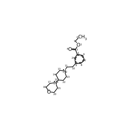 CCOC(=O)c1cccc(CCN2CCC(N3CCOCC3)CC2)c1